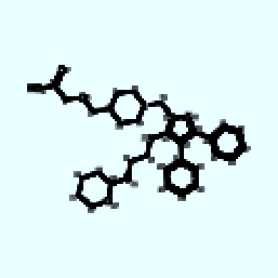 O=C(O)COC[C@H]1CC[C@H](Cn2nc(-c3ccccc3)c(-c3ccccc3)c2SCCOC2CCCCO2)CC1